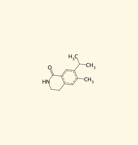 Cc1cc2c(cc1C(C)C)C(=O)NCC2